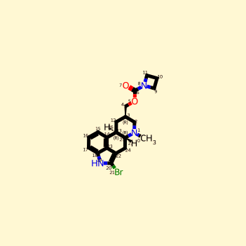 CN1C[C@H](COC(=O)N2CCC2)C[C@@H]2c3cccc4[nH]c(Br)c(c34)C[C@H]21